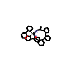 C=C1/C=C\C(N(c2ccccc2-c2ccccc2)c2ccccc2-c2ccccc2)=C/Cc2ccccc2-c2ccccc2-c2ccccc21